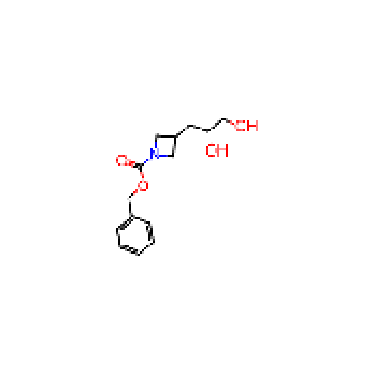 O=C(OCc1ccccc1)N1CC(C[C@@H](O)CO)C1